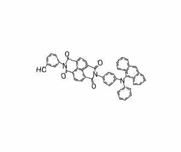 O=C1c2ccc3c4c(ccc(c24)C(=O)N1c1ccc(N(c2ccccc2)c2c4ccccc4cc4ccccc24)cc1)C(=O)N(c1cccc(O)c1)C3=O